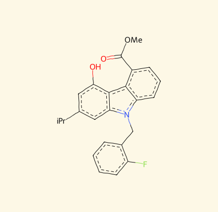 COC(=O)c1cccc2c1c1c(O)cc(C(C)C)cc1n2Cc1ccccc1F